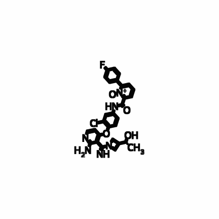 C[C@@H](O)C1CN(C(=N)c2c(Oc3ccc(NC(=O)c4cccc(-c5ccc(F)cc5)[n+]4[O-])cc3Cl)ccnc2N)C1